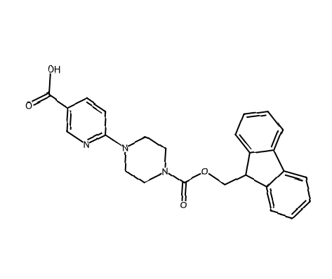 O=C(O)c1ccc(N2CCN(C(=O)OCC3c4ccccc4-c4ccccc43)CC2)nc1